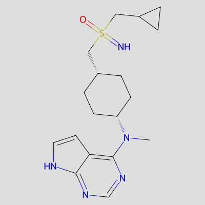 CN(c1ncnc2[nH]ccc12)[C@H]1CC[C@@H](CS(=N)(=O)CC2CC2)CC1